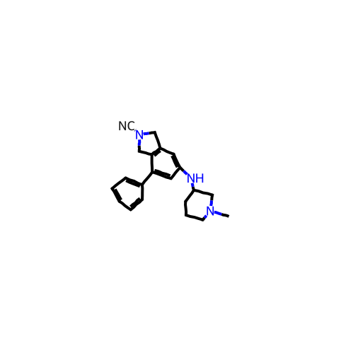 CN1CCCC(Nc2cc3c(c(-c4ccccc4)c2)CN(C#N)C3)C1